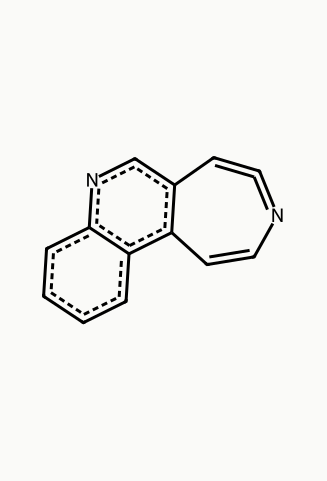 C1=Cc2cnc3ccccc3c2C=CN=1